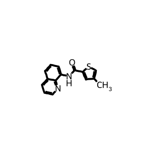 Cc1csc(C(=O)Nc2cccc3cccnc23)c1